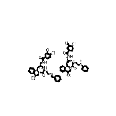 CCC(CN1CC[C@@H](CNC(=O)c2ccc(Cl)c(Cl)c2)N[C@@H](CCNCc2ccccc2)C1=O)c1ccccc1.CCC(CN1CC[C@@H](CNC(=O)c2ccc(Cl)c(Cl)c2)N[C@@H](CCNc2ccccc2)C1=O)c1ccccc1